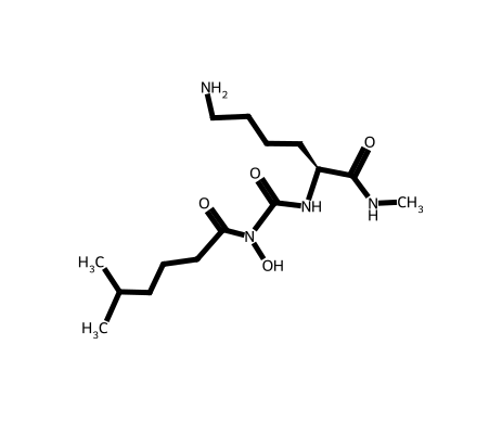 CNC(=O)[C@H](CCCCN)NC(=O)N(O)C(=O)CCCC(C)C